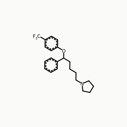 FC(F)(F)c1ccc(OC(CCCCN2CCCC2)c2ccccc2)cc1